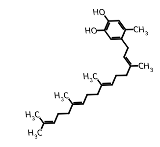 CC(C)=CCC/C(C)=C/CC/C(C)=C/CC/C(C)=C/Cc1cc(O)c(O)cc1C